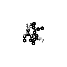 CC1(C)c2ccccc2-c2cc(N(c3ccc(-c4ccccc4)cc3)c3ccc4c(c3)c3ccc5c(c3n4-c3cccc(-c4cc(-c6cc(-c7ccccc7)ccn6)nc(-c6ccncc6)n4)n3)-c3cc4c6ccccc6c6ccccc6c4cc3C5(C)C)ccc21